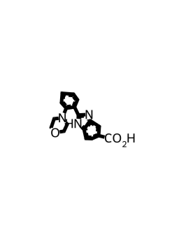 O=C(O)c1ccc2[nH]c(-c3ccccc3N3CCOCC3)nc2c1